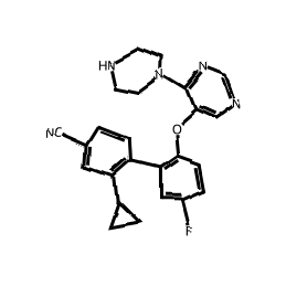 N#Cc1ccc(-c2cc(F)ccc2Oc2cncnc2N2CCNCC2)c(C2CC2)c1